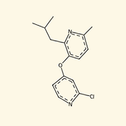 Cc1ccc(Oc2ccnc(Cl)c2)c(CC(C)C)n1